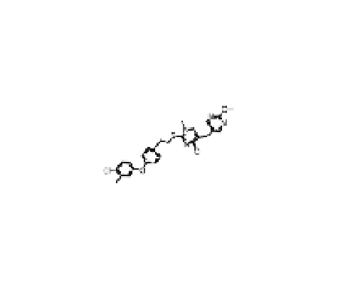 COc1ncc(Cc2cn(C)c(SCCc3ccc(Oc4ccc(Cl)c(C)c4)cc3)nc2=O)cn1